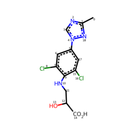 Cc1ncn(-c2cc(Cl)c(NCC(O)C(=O)O)c(Cl)c2)n1